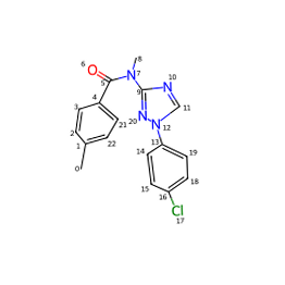 Cc1ccc(C(=O)N(C)c2ncn(-c3ccc(Cl)cc3)n2)cc1